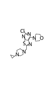 Clc1nc(N2CCOCC2)c2nc(CN3CCN(C4CC4)CC3)sc2n1